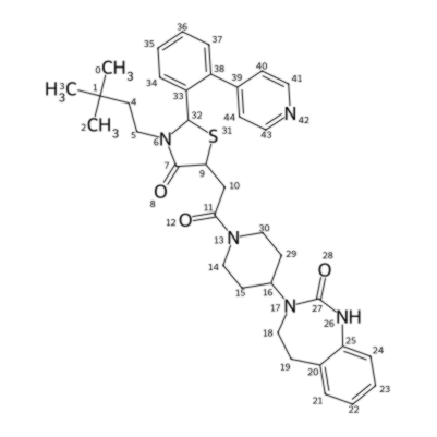 CC(C)(C)CCN1C(=O)C(CC(=O)N2CCC(N3CCc4ccccc4NC3=O)CC2)SC1c1ccccc1-c1ccncc1